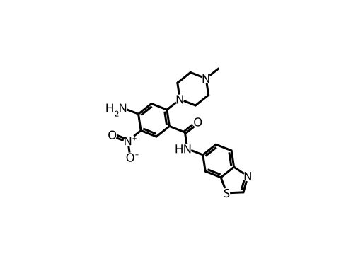 CN1CCN(c2cc(N)c([N+](=O)[O-])cc2C(=O)Nc2ccc3ncsc3c2)CC1